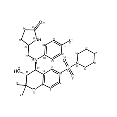 CC1(C)Oc2ccc(S(=O)(=O)N3CCCCC3)cc2[C@H](N(CC2CCC(=O)N2)c2ccc(Cl)cc2)[C@H]1O